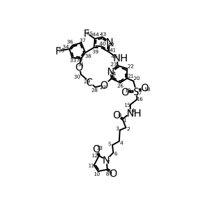 O=C(CCCCCN1C(=O)C=CC1=O)NCCS(=O)(=O)Cc1cc2nc(c1)OCCCOc1cc(F)ccc1-c1cc(ncc1F)N2